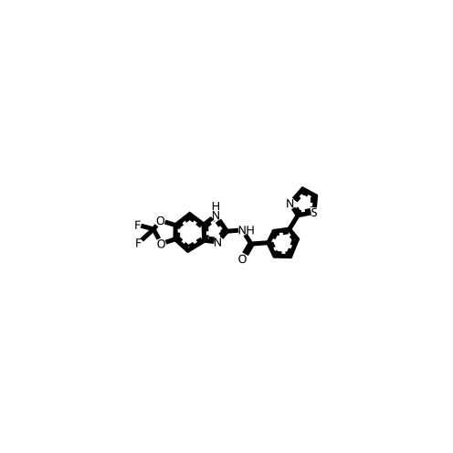 O=C(Nc1nc2cc3c(cc2[nH]1)OC(F)(F)O3)c1cccc(-c2nccs2)c1